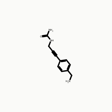 NCc1ccc(C#CCNC(N)=O)cc1